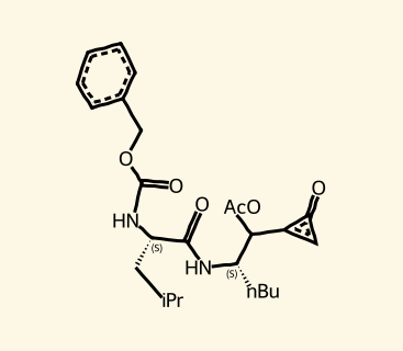 CCCC[C@H](NC(=O)[C@H](CC(C)C)NC(=O)OCc1ccccc1)C(OC(C)=O)c1cc1=O